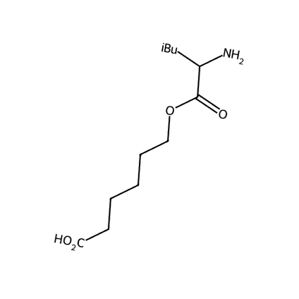 CCC(C)C(N)C(=O)OCCCCCC(=O)O